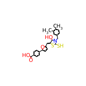 Cc1ccc(CN2C(S)S/C(=C\c3ccc(-c4ccc(C(=O)O)cc4)o3)C2O)cc1C